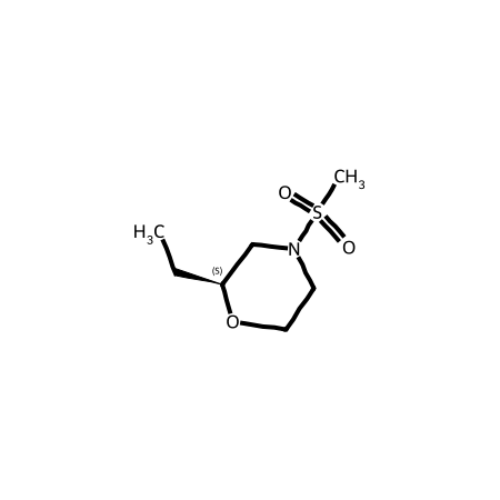 CC[C@H]1CN(S(C)(=O)=O)CCO1